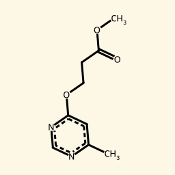 COC(=O)CCOc1cc(C)ncn1